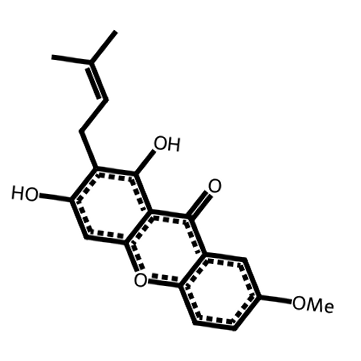 COc1ccc2oc3cc(O)c(CC=C(C)C)c(O)c3c(=O)c2c1